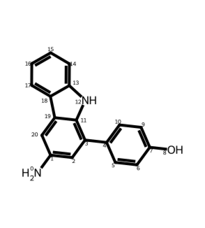 Nc1cc(-c2ccc(O)cc2)c2[nH]c3ccccc3c2c1